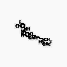 C=C(CCCCCCOc1cc2c(Nc3ccc(F)c(Cl)c3)ncnc2cc1OC)NOC(C)=O